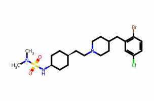 CN(C)S(=O)(=O)N[C@H]1CC[C@@H](CCN2CCC(Cc3cc(Cl)ccc3Br)CC2)CC1